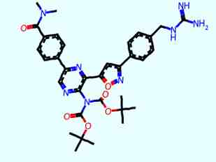 CN(C)C(=O)c1ccc(-c2cnc(N(C(=O)OC(C)(C)C)C(=O)OC(C)(C)C)c(-c3cc(-c4ccc(CNC(=N)N)cc4)no3)n2)cc1